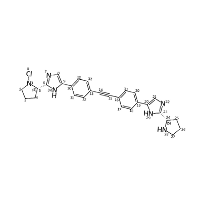 ClN1CCC[C@H]1c1ncc(-c2ccc(C#Cc3ccc(-c4cnc([C@@H]5CCCN5)[nH]4)cc3)cc2)[nH]1